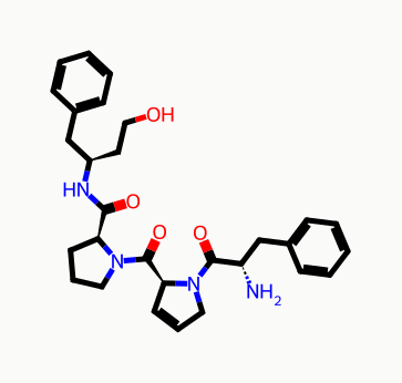 N[C@@H](Cc1ccccc1)C(=O)N1CC=C[C@H]1C(=O)N1CCC[C@H]1C(=O)N[C@H](CCO)Cc1ccccc1